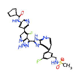 CS(=O)(=O)NCc1cc(F)cc(-c2ccnc3[nH]c(-c4n[nH]c5ncc(-c6cncc(NC(=O)C7CCCC7)c6)c(F)c45)nc23)c1